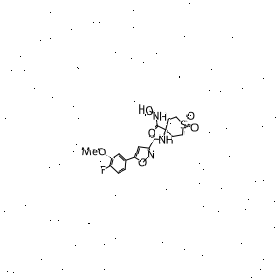 COc1cc(-c2cc(CNC3(C(=O)NO)CCS(=O)(=O)CC3)no2)ccc1F